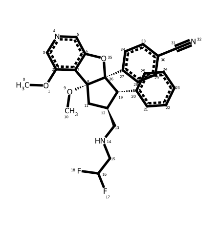 COc1cncc2c1[C@]1(OC)C[C@H](CNCC(F)F)[C@@H](c3ccccc3)[C@]1(c1ccc(C#N)cc1)O2